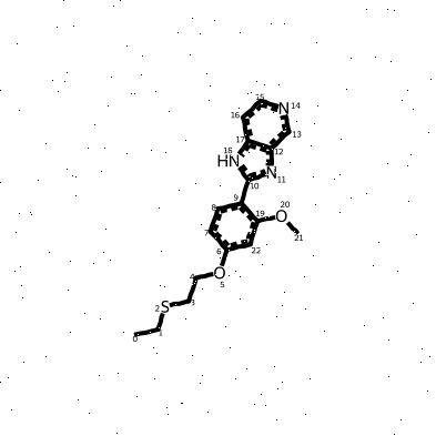 CCSCCOc1ccc(-c2nc3cnccc3[nH]2)c(OC)c1